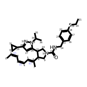 C\C=C/C=C\C=C(/C)C1CN(C(=O)NCc2ccc(SCC)cc2)CC1c1cc(C2CC2)nn1C(C)C